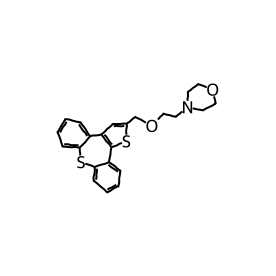 c1ccc2c(c1)Sc1ccccc1-c1sc(COCCN3CCOCC3)cc1-2